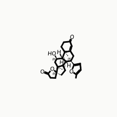 Cc1ccc([C@@H]2CC3=CC(=O)CC[C@]3(C)[C@@H]3[C@@H]2[C@@H]2CC[C@@]4(CCC(=O)O4)[C@@]2(C)C[C@H]3O)o1